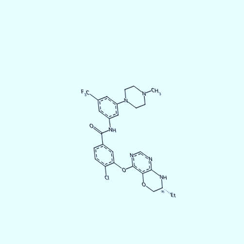 CC[C@@H]1COc2c(ncnc2Oc2cc(C(=O)Nc3cc(N4CCN(C)CC4)cc(C(F)(F)F)c3)ccc2Cl)N1